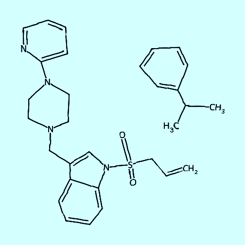 C=CCS(=O)(=O)n1cc(CN2CCN(c3ccccn3)CC2)c2ccccc21.CC(C)c1ccccc1